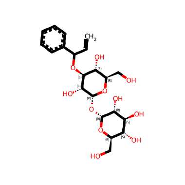 C=CC(O[C@@H]1[C@@H](O)[C@@H](O[C@H]2O[C@H](CO)[C@@H](O)[C@H](O)[C@H]2O)O[C@H](CO)[C@H]1O)c1ccccc1